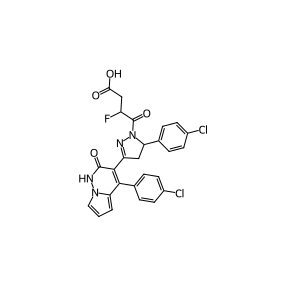 O=C(O)CC(F)C(=O)N1N=C(c2c(-c3ccc(Cl)cc3)c3cccn3[nH]c2=O)CC1c1ccc(Cl)cc1